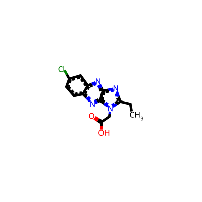 CCc1nc2nc3cc(Cl)ccc3nc2n1CC(=O)O